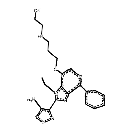 CCn1c(-c2nonc2N)nc2c(-c3ccccc3)ncc(OCCCNCCO)c21